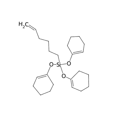 C=CCCCC[Si](OC1=CCCCC1)(OC1=CCCCC1)OC1=CCCCC1